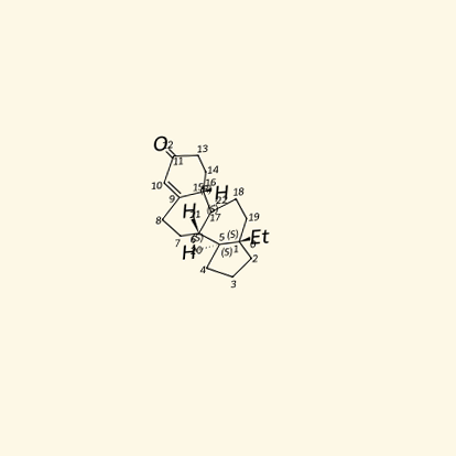 CC[C@@]12CCC[C@H]1[C@@H]1CCC3=CC(=O)CC[C@]3(C)[C@H]1CC2